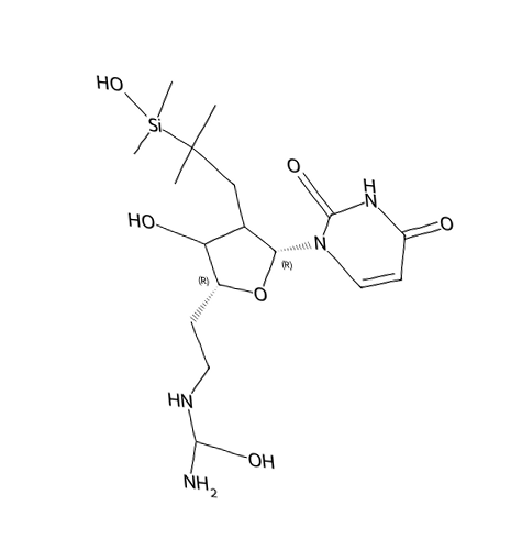 CC(C)(CC1C(O)[C@@H](CCNC(N)O)O[C@H]1n1ccc(=O)[nH]c1=O)[Si](C)(C)O